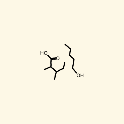 CCC(C)C(C)C(=O)O.CCCCCO